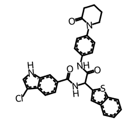 O=C(NC(C(=O)Nc1ccc(N2CCCCC2=O)cc1)c1cc2ccccc2s1)c1ccc2c(Cl)c[nH]c2c1